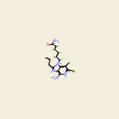 CCCc1nc2c(N)nc(C)c(C)c2n1CCCCCC(N)=O